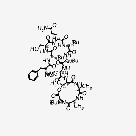 CC[C@@H](C)[C@@H](NC(=O)[C@@H](CCC(N)=O)NC(=O)[C@H](CO)NC(=O)[C@@H](NC(=O)[C@@H](Cc1ccccc1)NC)[C@@H](C)CC)C(=O)N[C@H](C(=O)N[C@@H](CO)C(=O)N[C@H]1C(=O)N[C@@H](C)C(=O)N[C@@H](C)C(=O)N[C@@H]([C@@H](C)CC)C(=O)O[C@H]1C)[C@@H](C)CC